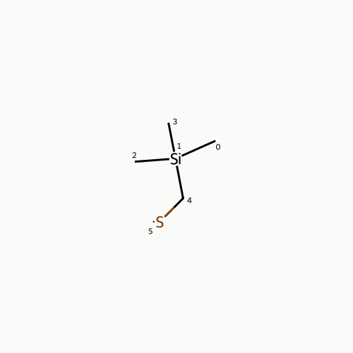 C[Si](C)(C)C[S]